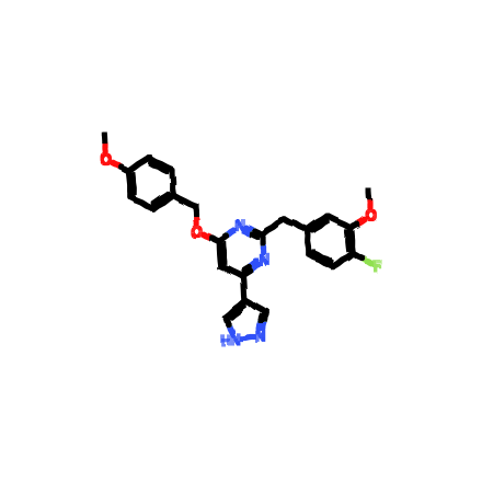 COc1ccc(COc2cc(-c3cn[nH]c3)nc(Cc3ccc(F)c(OC)c3)n2)cc1